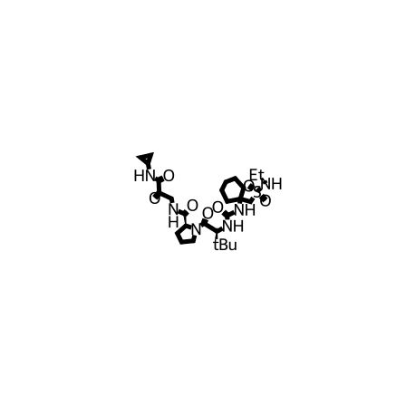 CCNS(=O)(=O)CC1(NC(=O)N[C@H](C(=O)N2CCC[C@H]2C(=O)NCC(=O)C(=O)NC2CC2)C(C)(C)C)CCCCC1